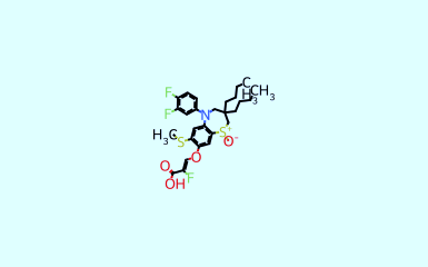 CCCCC1(CCCC)CN(c2ccc(F)c(F)c2)c2cc(SC)c(O/C=C(\F)C(=O)O)cc2[S+]([O-])C1